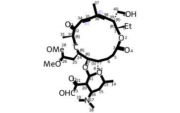 CC[C@H]1OC(=O)CC[C@H](C)[C@@H](OC2OC(C)CC(N(C)C)C2C(=O)C=O)[C@@H](CC(OC)OC)C[C@@H](C)C(=O)/C=C/C(C)=C/[C@@H]1CO